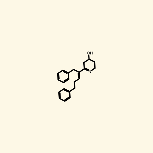 OC1CCN=C(C(=CCCc2ccccc2)Cc2ccccc2)C1